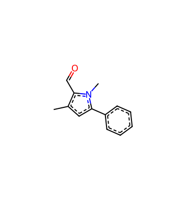 Cc1cc(-c2ccccc2)n(C)c1C=O